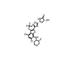 O=C1N[C@@H](c2nc(-c3sc4c(N[C@@H]5CCOC[C@@H]5F)c(Cl)cc(Cl)c4c3SC(F)(F)F)no2)C[C@H]1O